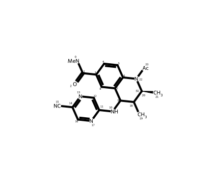 CNC(=O)c1ccc2c(c1)C(Nc1cnc(C#N)cn1)C(C)[C@H](C)N2C(C)=O